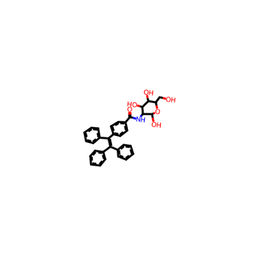 O=C(NC1C(O)OC(CO)C(O)C1O)c1ccc(C(=C(c2ccccc2)c2ccccc2)c2ccccc2)cc1